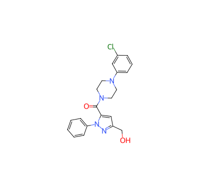 O=C(c1cc(CO)nn1-c1ccccc1)N1CCN(c2cccc(Cl)c2)CC1